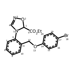 CCOC(=O)C1ON=CN1c1ccccc1COc1ccc(Br)cc1